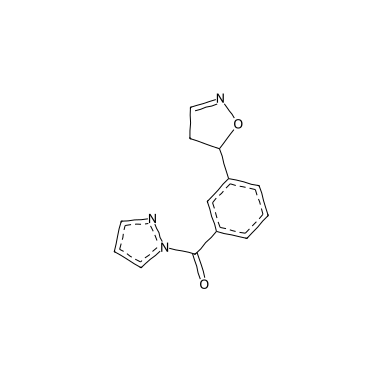 O=C(c1cccc(C2CC=NO2)c1)n1cccn1